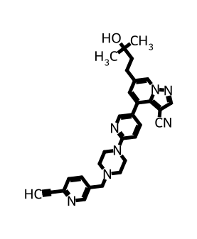 C#Cc1ccc(CN2CCN(c3ccc(-c4cc(CCC(C)(C)O)cn5ncc(C#N)c45)cn3)CC2)cn1